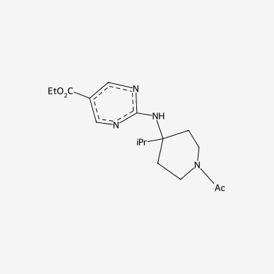 CCOC(=O)c1cnc(NC2(C(C)C)CCN(C(C)=O)CC2)nc1